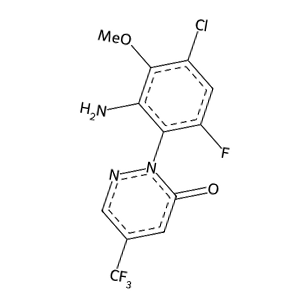 COc1c(Cl)cc(F)c(-n2ncc(C(F)(F)F)cc2=O)c1N